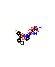 CC(C)(c1cccc(Cl)c1)C(OC(=O)NC1CCCCC1CCC(=O)N[C@@H](CC1CCNC1=O)C(=O)O)c1ccc(F)cc1